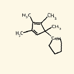 CC1=[C][C](C)([GeH]2[CH2]CC[CH2]2)C(C)=C1C